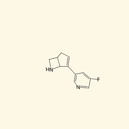 Fc1cncc(C2=CCC3CNC23)c1